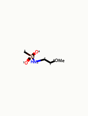 [CH2]OCCNS(C)(=O)=O